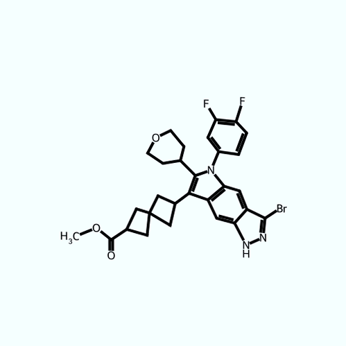 COC(=O)C1CC2(C1)CC(c1c(C3CCOCC3)n(-c3ccc(F)c(F)c3)c3cc4c(Br)n[nH]c4cc13)C2